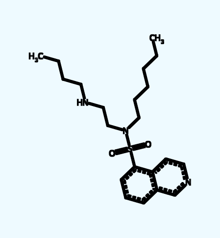 CCCCCCN(CCNCCCC)S(=O)(=O)c1cccc2cnccc12